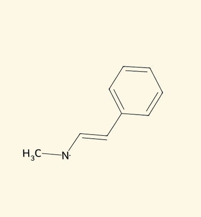 C[N]/C=C/c1ccccc1